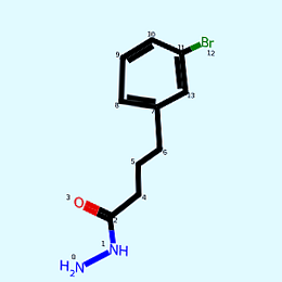 NNC(=O)CCCc1cccc(Br)c1